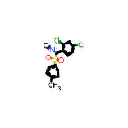 [C-]#[N+]C(c1ccc(Cl)cc1Cl)S(=O)(=O)c1ccc(C)cc1